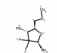 B[C@@H]1O[C@H](COC)[C@@H](O)C1(F)F